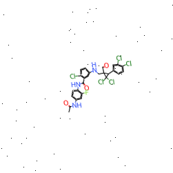 CC(=O)Nc1ccc(NC(=O)c2cc(NCC3(C=O)C(c4ccc(Cl)c(Cl)c4)C3(Cl)Cl)ccc2Cl)c(F)c1